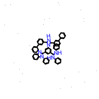 C1=CCCC(c2cccc(C3NC(c4cccc(C5=CC=CCC5)c4)N3c3cc(-c4nc5ccccc5n4-c4ccccc4)cc(C(Nc4ccccc4)Nc4ccccc4)c3)c2)=C1